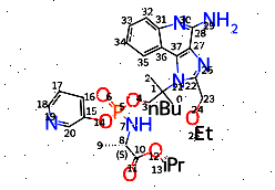 CCCCC(C)(COP(=O)(N[C@@H](C)C(=O)OC(C)C)Oc1cccnc1)n1c(COCC)nc2c(N)nc3ccccc3c21